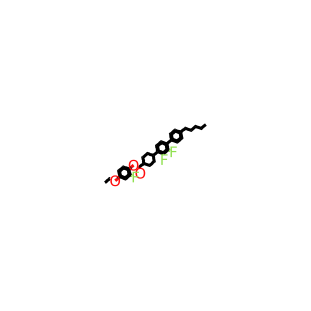 CCCCCc1ccc(-c2ccc(C3CCC(C(=O)Oc4ccc(OCC)cc4F)CC3)c(F)c2F)cc1